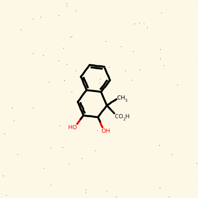 CC1(C(=O)O)c2ccccc2C=C(O)C1O